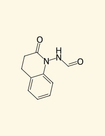 O=CNN1C(=O)CCc2ccccc21